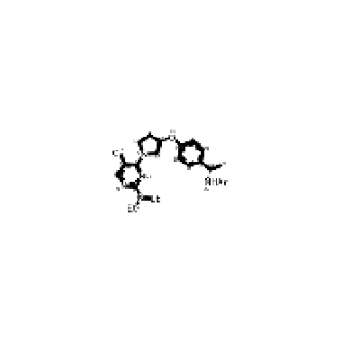 CCN(CC)c1ncc(Cl)c(N2CC[C@@H](Oc3ccc([C@H](C)NC(C)=O)cc3)C2)n1